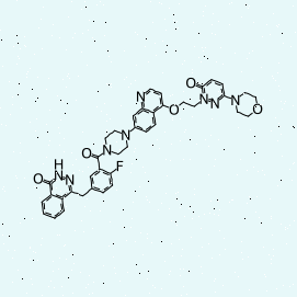 O=C(c1cc(Cc2n[nH]c(=O)c3ccccc23)ccc1F)N1CCN(c2ccc3c(OCCn4nc(N5CCOCC5)ccc4=O)ccnc3c2)CC1